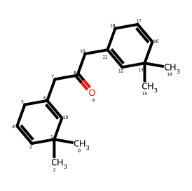 CC1(C)C=CCC(CC(=O)CC2=CC(C)(C)C=CC2)=C1